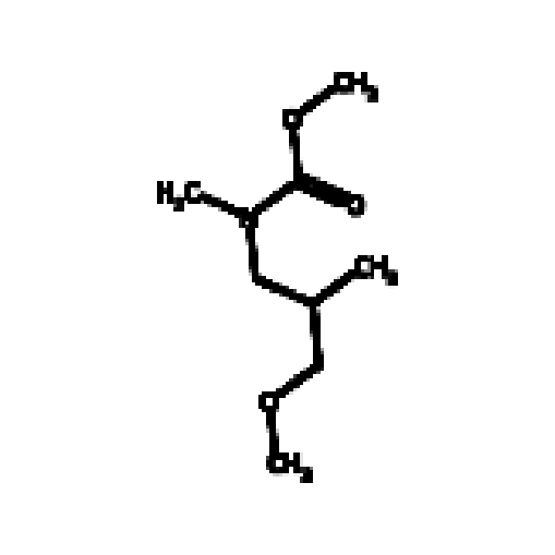 COCC(C)CN(C)C(=O)OC